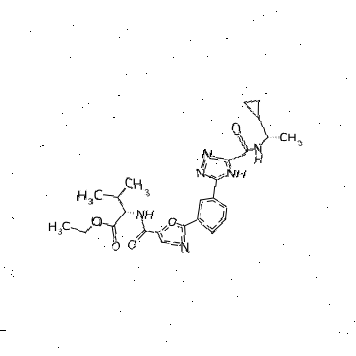 CCOC(=O)[C@@H](NC(=O)c1cnc(-c2cccc(-c3nnc(C(=O)N[C@@H](C)C4CC4)[nH]3)c2)o1)C(C)C